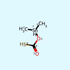 [CH3][SnH]([CH3])[O]C(=O)S